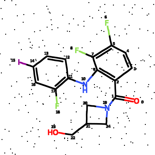 O=C(c1ccc(F)c(F)c1Nc1ccc(I)cc1F)N1CC(CO)C1